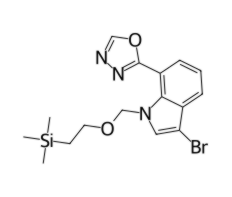 C[Si](C)(C)CCOCn1cc(Br)c2cccc(-c3nnco3)c21